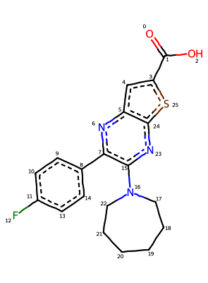 O=C(O)c1cc2nc(-c3ccc(F)cc3)c(N3CCCCCC3)nc2s1